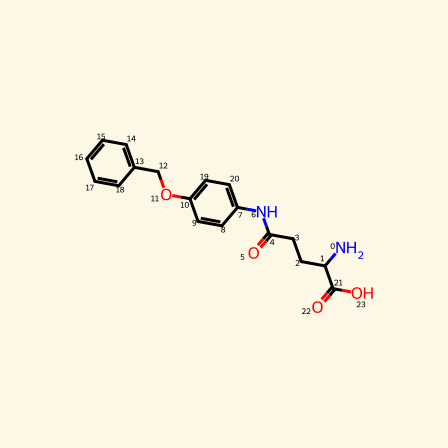 NC(CCC(=O)Nc1ccc(OCc2ccccc2)cc1)C(=O)O